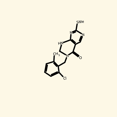 CSc1ncc2c(n1)NCN(Cc1c(C)cccc1Cl)C2=O